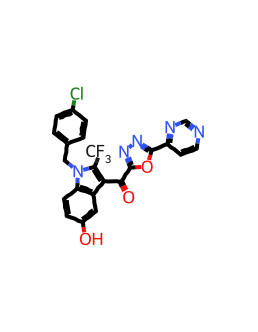 O=C(c1nnc(-c2ccncn2)o1)c1c(C(F)(F)F)n(Cc2ccc(Cl)cc2)c2ccc(O)cc12